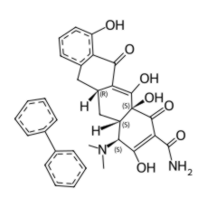 CN(C)[C@@H]1C(O)=C(C(N)=O)C(=O)[C@@]2(O)C(O)=C3C(=O)c4c(O)cccc4C[C@H]3C[C@@H]12.c1ccc(-c2ccccc2)cc1